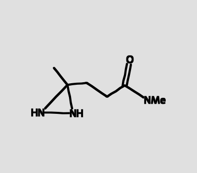 CNC(=O)CCC1(C)NN1